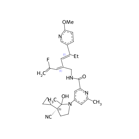 C=C(F)/C=C(\C=C(/CC)c1ccc(OC)nc1)CNC(=O)c1cc(N2CC[C@@](C#N)(C3CC3)C2(C)O)cc(C)n1